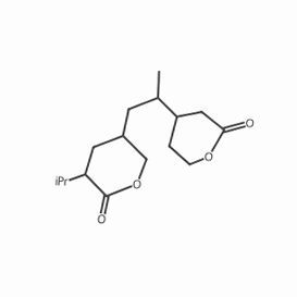 CC(C)C1CC(CC(C)C2CCOC(=O)C2)COC1=O